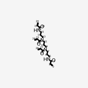 C=CC(=O)NCCCN(CCCN(CCCNC(=O)C=C)C(=O)C=C)C(=O)C=C